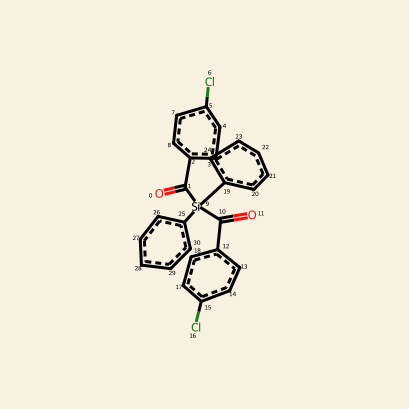 O=C(c1ccc(Cl)cc1)[Si](C(=O)c1ccc(Cl)cc1)(c1ccccc1)c1ccccc1